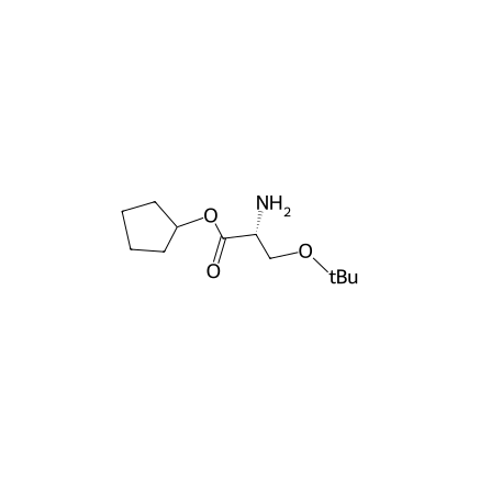 CC(C)(C)OC[C@@H](N)C(=O)OC1CCCC1